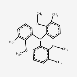 COc1c(C)cccc1P(c1cccc(C)c1OC)c1cccc(C)c1OC